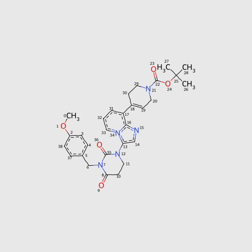 COc1ccc(CN2C(=O)CCN(c3cnc4c(C5=CCN(C(=O)OC(C)(C)C)CC5)cccn34)C2=O)cc1